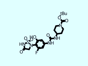 CC(C)(C)OC(=O)N1CCC(NC(=O)Nc2cc(O)c(N3CC(=O)NS3(=O)=O)c(F)c2)CC1